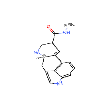 CC[C@@H](C)NC(=O)C1C=C2c3cccc4[nH]cc(c34)C[C@H]2NC1